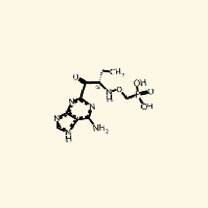 CC[C@H](NOCP(=O)(O)O)C(=O)c1nc(N)c2[nH]cnc2n1